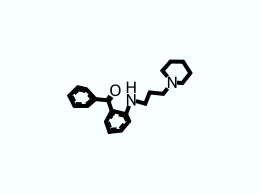 O=C(c1ccccc1)c1ccccc1NCCCN1CCCCC1